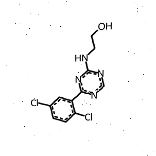 OCCNc1ncnc(-c2cc(Cl)ccc2Cl)n1